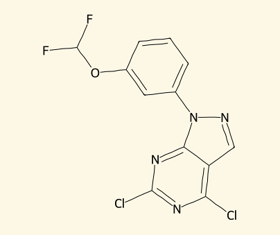 FC(F)Oc1cccc(-n2ncc3c(Cl)nc(Cl)nc32)c1